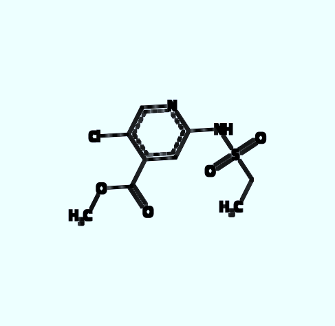 CCS(=O)(=O)Nc1cc(C(=O)OC)c(Cl)cn1